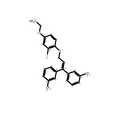 O=C(O)COc1ccc(SCC=C(c2cccc(C(F)(F)F)c2)c2cccc(C(F)(F)F)c2)c(I)c1